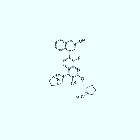 CN1CCC[C@H]1COc1nc2c(F)c(-c3cc(O)cc4ccccc34)ncc2c(N2CC3CCC(C2)N3)c1C#N